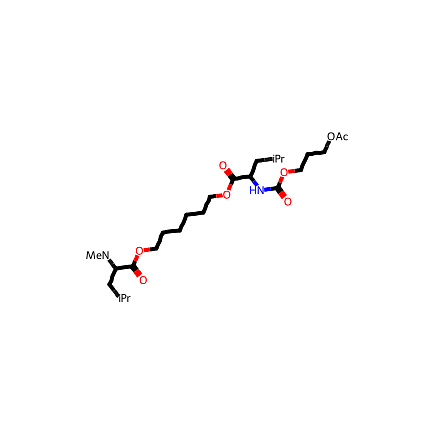 CNC(CC(C)C)C(=O)OCCCCCCOC(=O)C(CC(C)C)NC(=O)OCCCOC(C)=O